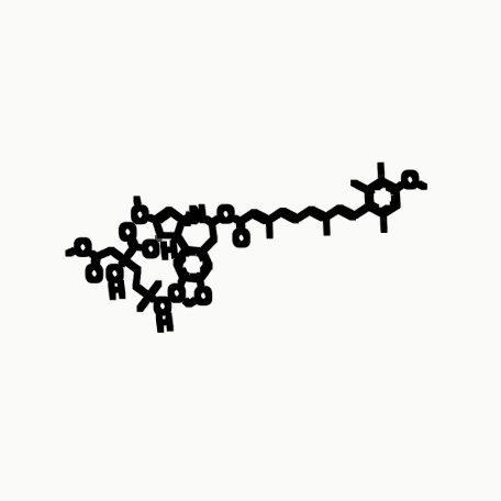 COC(=O)CC(O)(CCC(C)(C)O)C(=O)O[C@@H]1C(OC)=C[C@]23CCCN2C(OC(=O)/C=C(C)/C=C/C=C(C)/C=C/c2c(C)cc(OC)c(C)c2C)Cc2cc4c(cc2[C@H]13)OCO4